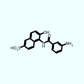 Nc1cccc(C(=O)Nc2c(O)ccc3cc(S(=O)(=O)O)ccc23)c1